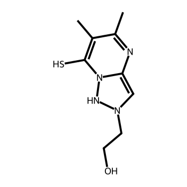 CC1=NC2=CN(CCO)NN2C(S)=C1C